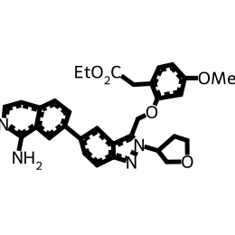 CCOC(=O)Cc1ccc(OC)cc1OCc1c2cc(-c3ccc4ccnc(N)c4c3)ccc2nn1C1CCOC1